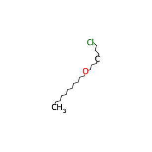 CCCCCCCCCCCOCCC=C=CCCCl